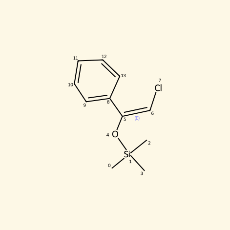 C[Si](C)(C)O/C(=C/Cl)c1ccccc1